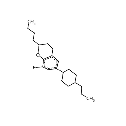 CCCCC1CCc2cc(C3CCC(CCC)CC3)cc(F)c2O1